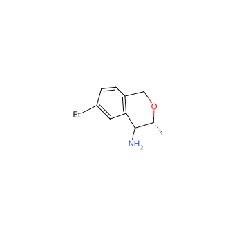 CCc1ccc2c(c1)C(N)[C@@H](C)OC2